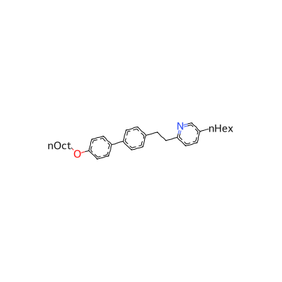 CCCCCCCCOc1ccc(-c2ccc(CCc3ccc(CCCCCC)cn3)cc2)cc1